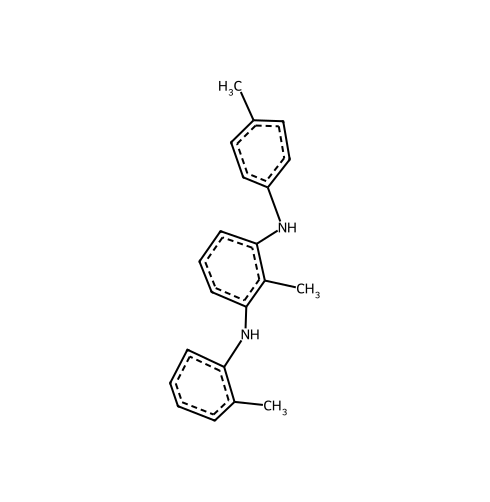 Cc1ccc(Nc2cccc(Nc3ccccc3C)c2C)cc1